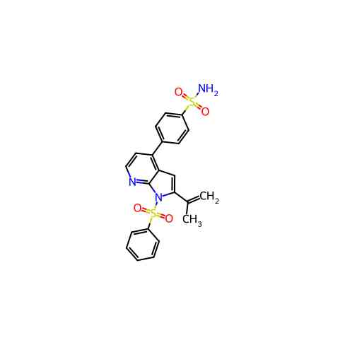 C=C(C)c1cc2c(-c3ccc(S(N)(=O)=O)cc3)ccnc2n1S(=O)(=O)c1ccccc1